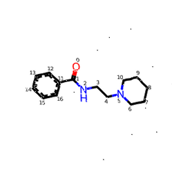 O=C(NCCN1CCCCC1)c1ccccc1